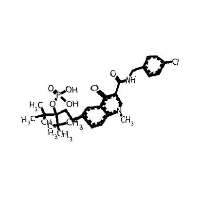 Cn1cc(C(=O)NCc2ccc(Cl)cc2)c(=O)c2cc(CCC(OP(=O)(O)O)(C(C)(C)C)C(C)(C)C)ccc21